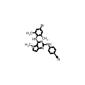 Cc1cc(Br)cc(C)c1Nc1nc(Nc2ccc(C#N)cc2)nc2ccn(C)c12